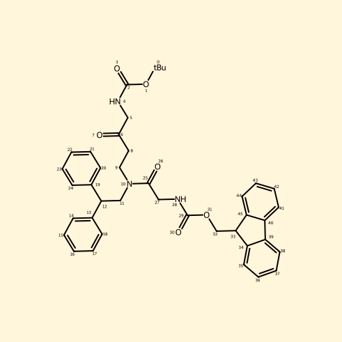 CC(C)(C)OC(=O)NCC(=O)CCN(CC(c1ccccc1)c1ccccc1)C(=O)CNC(=O)OCC1c2ccccc2-c2ccccc21